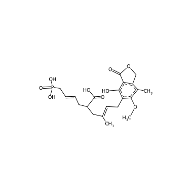 COc1c(C)c2c(c(O)c1C/C=C(\C)CC(C/C=C/CP(=O)(O)O)C(=O)O)C(=O)OC2